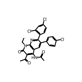 [CH2]Cn1c(=O)c(C(C)=O)c(NC(C)=O)c2cc(-c3ccc(Cl)cc3)c(-c3ccc(Cl)cc3Cl)nc21